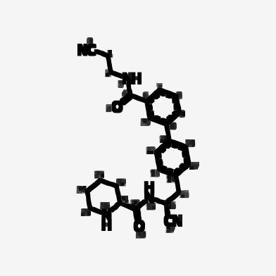 N#CCCNC(=O)c1cccc(-c2ccc(C[C@@H](C#N)NC(=O)[C@@H]3CCCCN3)cc2)c1